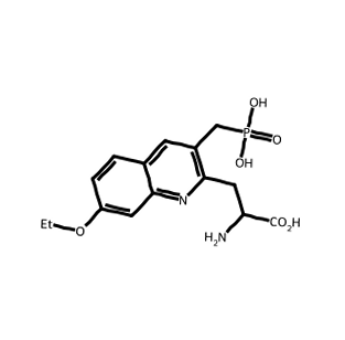 CCOc1ccc2cc(CP(=O)(O)O)c(CC(N)C(=O)O)nc2c1